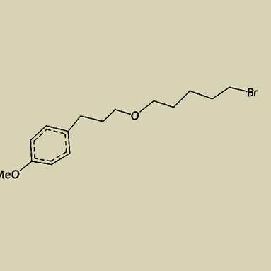 COc1ccc(CCCOCCCCCBr)cc1